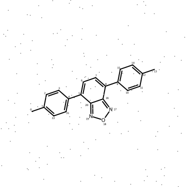 Cc1ccc(-c2ccc(-c3ccc(C)cc3)c3nonc23)cc1